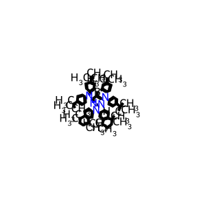 CC(C)(C)c1ccc(N2c3ccc(C(C)(C)C)cc3B3c4cc(C(C)(C)C)ccc4N(c4ccc(C(C)(C)C)cc4)c4nc(N(c5ccc6c(c5)C(C)(C)CCC6(C)C)c5ccc6c(c5)C(C)(C)CCC6(C)C)nc2c43)cc1